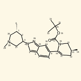 C[C@@H]1CC(n2cc3ccc(C4=CC[C@H](C)CN4C(=O)OC(C)(C)C)cc3n2)CN(C)C1